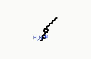 CCCCCCCCc1ccc(C2=NCC(N)(CC)C2)cc1